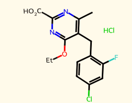 CCOc1nc(C(=O)O)nc(C)c1Cc1ccc(Cl)cc1F.Cl